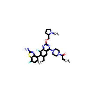 C=CC(=O)N1CCN(c2nc(OCC3CCCN3C)nc3c(F)c(-c4ccc(F)c5sc(N)nc45)c(CC)cc23)CC1